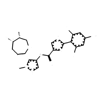 COc1cc(F)c(-c2nc(C(=O)Nc3cnn(C)c3[C@@H]3CC[C@@H](N)[C@@H](F)CO3)cs2)c(F)c1